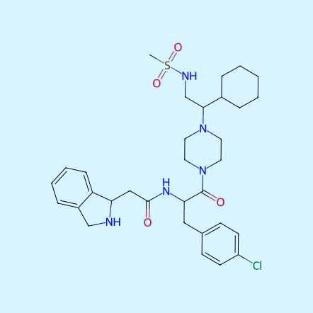 CS(=O)(=O)NCC(C1CCCCC1)N1CCN(C(=O)C(Cc2ccc(Cl)cc2)NC(=O)CC2NCc3ccccc32)CC1